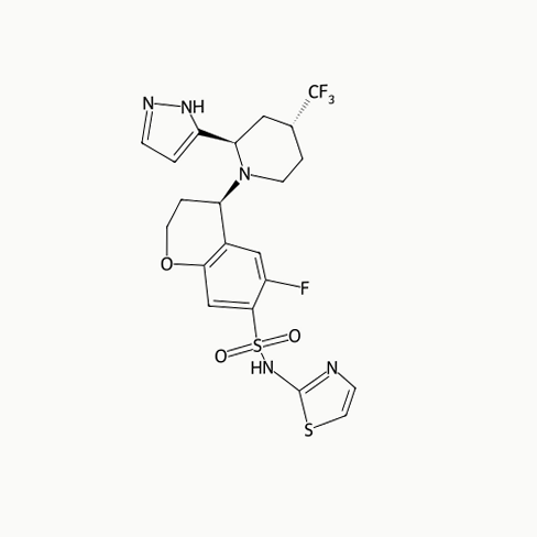 O=S(=O)(Nc1nccs1)c1cc2c(cc1F)[C@H](N1CC[C@@H](C(F)(F)F)C[C@@H]1c1ccn[nH]1)CCO2